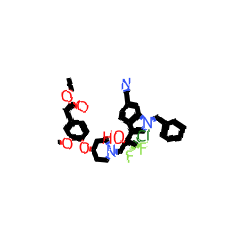 CCOC(=O)Cc1ccc(OC2CCN(CC(O)(c3cn(Cc4ccccc4)c4cc(C#N)ccc34)C(F)(F)Cl)CC2)c(OC)c1